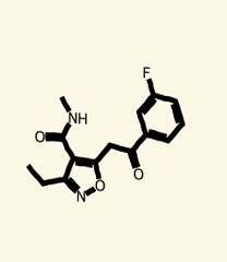 CCc1noc(CC(=O)c2cccc(F)c2)c1C(=O)NC